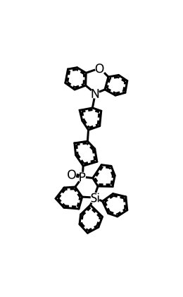 O=P1(c2ccc(-c3ccc(N4c5ccccc5Oc5ccccc54)cc3)cc2)c2ccccc2[Si](c2ccccc2)(c2ccccc2)c2ccccc21